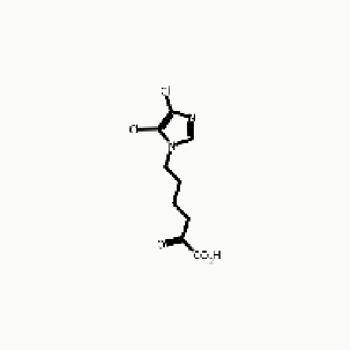 O=C(O)C(=O)CCCCn1cnc(Cl)c1Cl